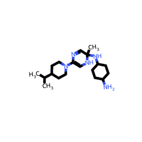 CC(C)C1CCN(C2=CNC(C)(NC3CCC(N)CC3)C=N2)CC1